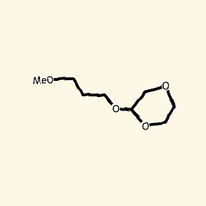 COCCCOC1COCCO1